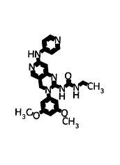 CCNC(=O)NC1=Nc2cc(Nc3ccncc3)ncc2CN1c1cc(OC)cc(OC)c1